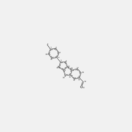 Cc1ccc(-c2cn3c(n2)sc2cc(C=O)ccc23)cc1